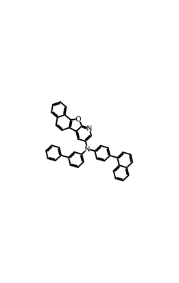 c1ccc(-c2cccc(N(c3ccc(-c4cccc5ccccc45)cc3)c3cnc4oc5c6ccccc6ccc5c4c3)c2)cc1